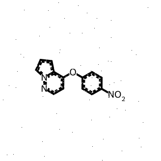 O=[N+]([O-])c1ccc(Oc2ccnn3cccc23)cc1